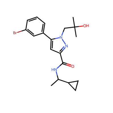 CC(NC(=O)c1cc(-c2cccc(Br)c2)n(CC(C)(C)O)n1)C1CC1